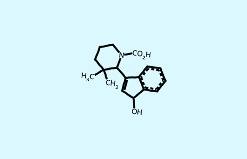 CC1(C)CCCN(C(=O)O)C1C1=CC(O)c2ccccc21